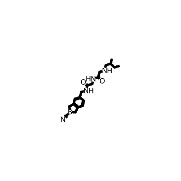 CCC(C)CNCC(=O)NCC(=O)NCc1ccc2c(c1)CB(C#N)C2